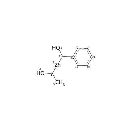 C[CH](O)[Zn][CH](O)c1ccccc1